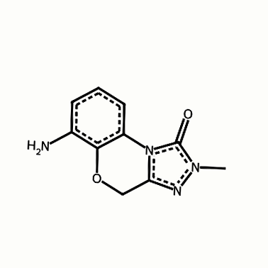 Cn1nc2n(c1=O)-c1cccc(N)c1OC2